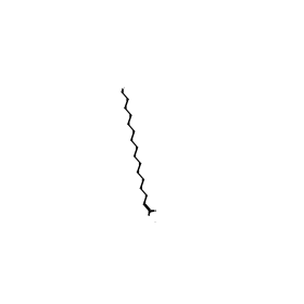 CC(C)(C)C(=CCCCCCCCCCCCCCCC(=O)O)C(=O)O